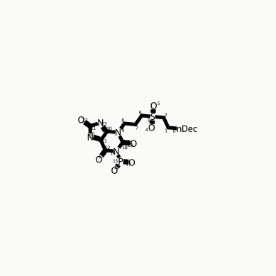 CCCCCCCCCCCCS(=O)(=O)CCCn1c2c(c(=O)n(P(=O)=O)c1=O)=NC(=O)N=2